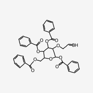 B=CCOC1C(OC(=O)c2ccccc2)OC(COC(=O)c2ccccc2)C(OC(=O)c2ccccc2)C1OC(=O)c1ccccc1